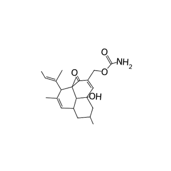 C/C=C(\C)C1C(C)=CC2CC(C)CC3(O)C=C(COC(N)=O)C(=O)C1(C)C23